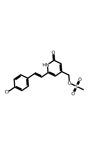 CS(=O)(=O)OCc1cc(C=Cc2ccc(Cl)cc2)[nH]c(=O)c1